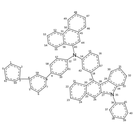 c1ccc(-c2cccc(-c3ccc(N(c4cccc(-c5c6ccccc6cc6c5c5ccccc5n6-c5ccccc5)c4)c4cc5ccccc5c5ccccc45)cc3)c2)cc1